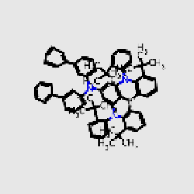 CC(C)(C)c1ccccc1N1c2cc(N(c3cccc(-c4ccccc4)c3)c3cccc(-c4ccccc4)c3)cc3c2B(c2cccc(C(C)(C)C)c21)c1cccc(C(C)(C)C)c1N3c1ccccc1C(C)(C)C